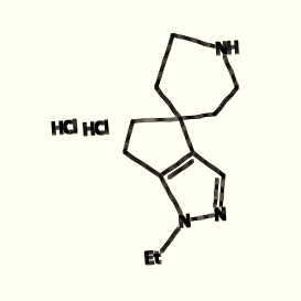 CCn1ncc2c1CCC21CCNCC1.Cl.Cl